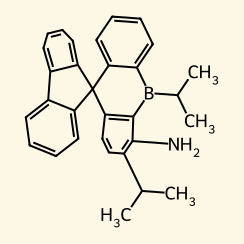 CC(C)B1c2ccccc2C2(c3ccccc3-c3ccccc32)c2ccc(C(C)C)c(N)c21